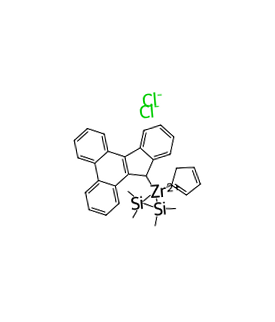 C[Si]1(C)[Si](C)(C)[Zr+2]1([C]1=CC=CC1)[CH]1c2ccccc2-c2c1c1ccccc1c1ccccc21.[Cl-].[Cl-]